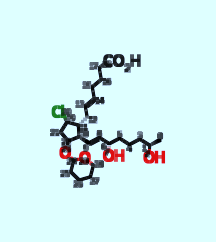 C[C@@H](O)CCC[C@H](O)/C=C/[C@@H]1[C@@H](CC=CCCCC(=O)O)[C@H](Cl)C[C@H]1OC1CCCCO1